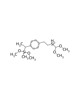 COC(OC)[SiH2]CCc1ccc(C(C)[Si](C)(OC)OC)cc1